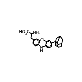 NC(Cc1ccc(Nc2ccc(C34CC5CC(CC(C5)C3)C4)cc2Cl)cc1)C(=O)O